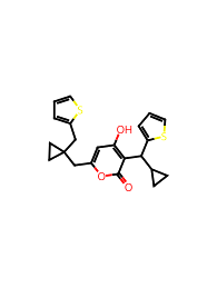 O=c1oc(CC2(Cc3cccs3)CC2)cc(O)c1C(c1cccs1)C1CC1